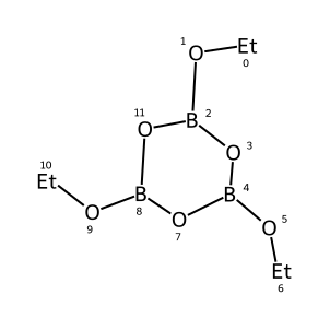 CCOB1OB(OCC)OB(OCC)O1